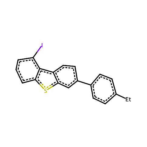 CCc1ccc(-c2ccc3c(c2)sc2cccc(I)c23)cc1